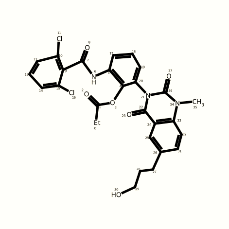 CCC(=O)Oc1c(NC(=O)c2c(Cl)cccc2Cl)cccc1-n1c(=O)c2cc(CCCO)ccc2n(C)c1=O